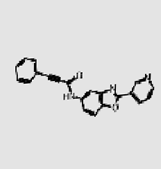 O=C(C#Cc1ccccc1)Nc1ccc2oc(-c3cccnc3)nc2c1